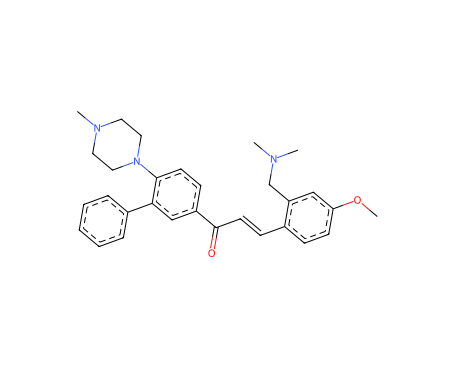 COc1ccc(C=CC(=O)c2ccc(N3CCN(C)CC3)c(-c3ccccc3)c2)c(CN(C)C)c1